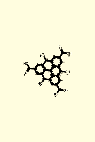 O=C(O)c1cc2c3c(c1)C(O)c1cc(C(=O)O)cc4c(O)c5cc(C(=O)O)cc(c5c-3c14)C2O